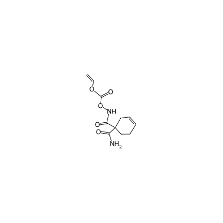 C=COC(=O)ONC(=O)C1(C(N)=O)CC=CCC1